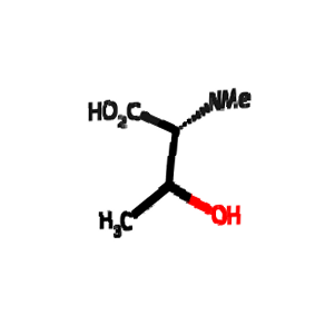 CN[C@@H](C(=O)O)C(C)O